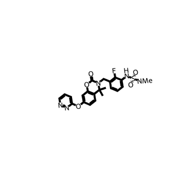 CNS(=O)(=O)Nc1cccc(CN2C(=O)Oc3cc(Oc4cccnn4)ccc3C2(C)C)c1F